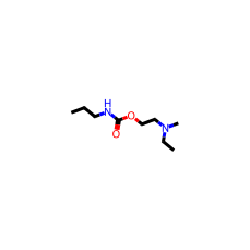 CCCNC(=O)OCCN(C)CC